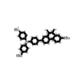 CCC(C)c1ccc(N(c2ccc(-c3ccc4c(c3)c(C)c(C)c3cc(C(C)(C)C)ccc34)cc2)c2ccc(C(C)(C)C)cc2)cc1